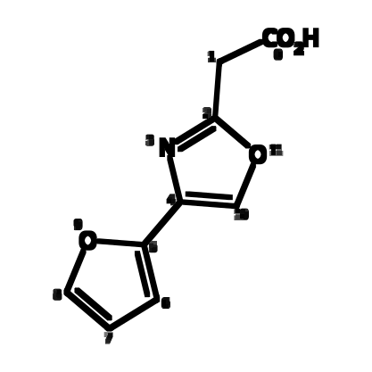 O=C(O)Cc1nc(-c2ccco2)co1